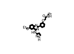 CCOc1ccc2nc(-c3cccc(OCC(=O)NC(C)C)c3)nc(Nc3cc[nH]n3)c2c1